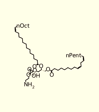 CCCCC/C=C\C/C=C\CCCCCCCC(=O)OC[C@H](COP(=O)(O)OCCN)OC(=O)CCCCCCCCCCC/C=C\CCCCCCCC